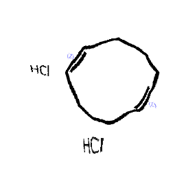 C1=C\CC/C=C\CC/1.Cl.Cl